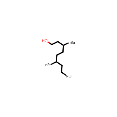 CCCCC(CCO)CCC(CCC)CCN=O